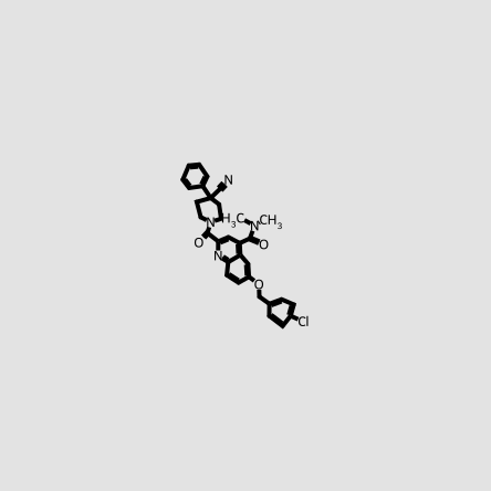 CN(C)C(=O)c1cc(C(=O)N2CCC(C#N)(c3ccccc3)CC2)nc2ccc(OCc3ccc(Cl)cc3)cc12